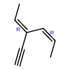 C#CC(/C=C\C)=C/C